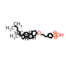 CC(C)CCC[C@@H](C)[C@H]1CC[C@H]2[C@@H]3CC[C@H]4C[C@@H](OCCCc5ccc(S(=O)(=O)O)cc5)CC[C@]4(C)[C@H]3CC[C@]12C